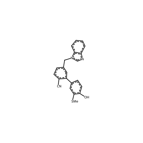 CSc1cc(-c2cc(Cn3cnc4ccccc43)ccc2C#N)ccc1O